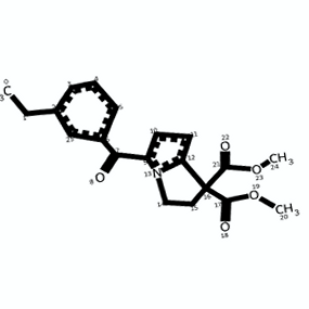 CCc1cccc(C(=O)c2ccc3n2CCC3(C(=O)OC)C(=O)OC)c1